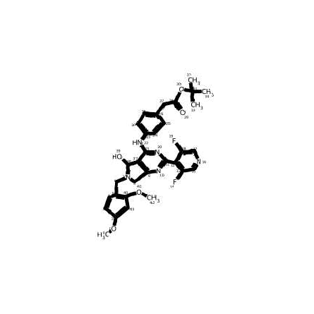 COc1ccc(CN2Cc3nc(-c4c(F)cncc4F)nc(Nc4ccc(CC(=O)OC(C)(C)C)cc4)c3C2O)c(OC)c1